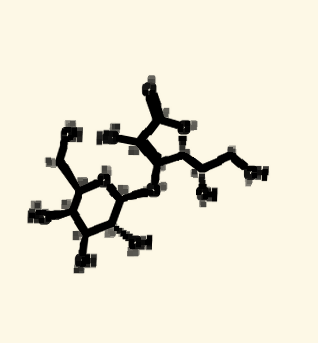 O=C1O[C@H]([C@@H](O)CO)C(O[C@@H]2O[C@H](CO)[C@H](O)[C@H](O)[C@H]2O)=C1O